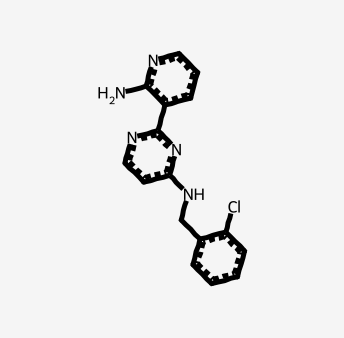 Nc1ncccc1-c1nccc(NCc2ccccc2Cl)n1